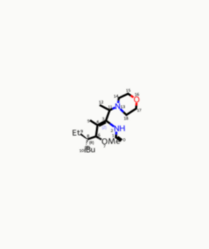 C=CN/C(=C(/C)C(OC)[C@H](CC)[C@@H](C)CC)C(C)N1CCOCC1